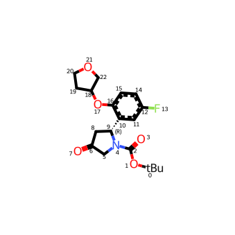 CC(C)(C)OC(=O)N1CC(=O)C[C@@H]1c1cc(F)ccc1OC1CCOC1